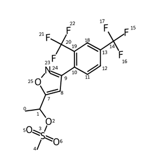 CC(OS(C)(=O)=O)c1cc(-c2ccc(C(F)(F)F)cc2C(F)(F)F)no1